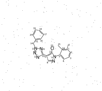 Cc1cccc(-n2ncc(-c3nnn(Cc4ccccc4)n3)c2Cl)c1C